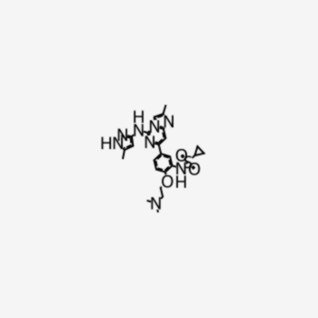 Cc1cn2c(Nc3cc(C)[nH]n3)nc(-c3ccc(OCCN(C)C)c(NS(=O)(=O)C4CC4)c3)cc2n1